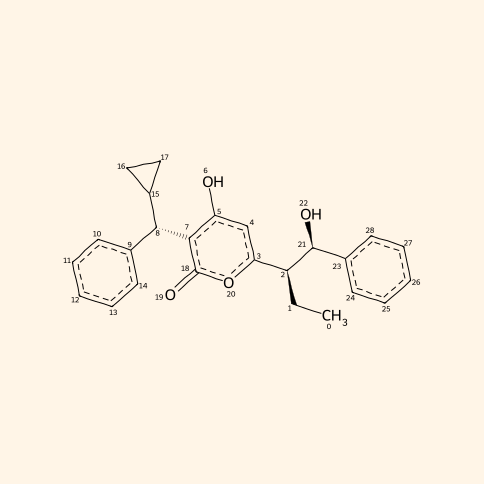 CC[C@@H](c1cc(O)c([C@H](c2ccccc2)C2CC2)c(=O)o1)[C@@H](O)c1ccccc1